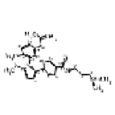 CCc1ccc(-c2ccc(C(=O)NCCCN(C)C)cc2)n1-c1cc(CC(C)C)ccc1C